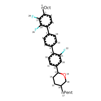 CCCCCCCCc1ccc(-c2ccc(-c3ccc(C4CCC(CCCCC)CO4)cc3F)cc2)c(F)c1F